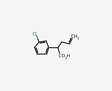 C=CCC(C(=O)O)c1cccc(Cl)c1